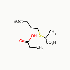 CCC(=O)O.CCCCCCCCCCCSC(C)C(=O)O